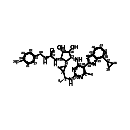 Cc1nc(N[C@H](C)C2CC2)nc(N[C@@H]2C[C@H](NC(=O)NCc3ccc(F)cc3)[C@@H](O)[C@H]2O)c1-c1nc2c(C3CC3)nccc2s1